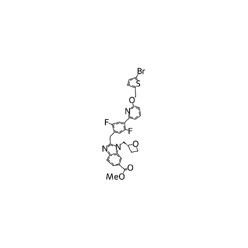 COC(=O)c1ccc2nc(Cc3cc(F)c(-c4cccc(OCc5ccc(Br)s5)n4)cc3F)n(C[C@@H]3CCO3)c2c1